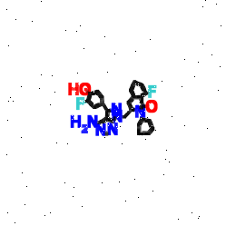 Nc1ncnc2c1c(-c1ccc(O)c(F)c1)nn2Cc1cc2cccc(F)c2c(=O)n1-c1ccccc1